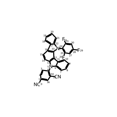 N#Cc1ccc(-n2c3ccccc3c3c2ccc2c4ccccc4n(-c4c(F)cc(F)cc4F)c23)c(C#N)c1